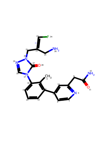 Cc1c(-c2ccnc(CC(N)=O)c2)cccc1-n1cnn(C/C(=C/F)CN)c1=O